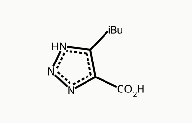 CCC(C)c1[nH]nnc1C(=O)O